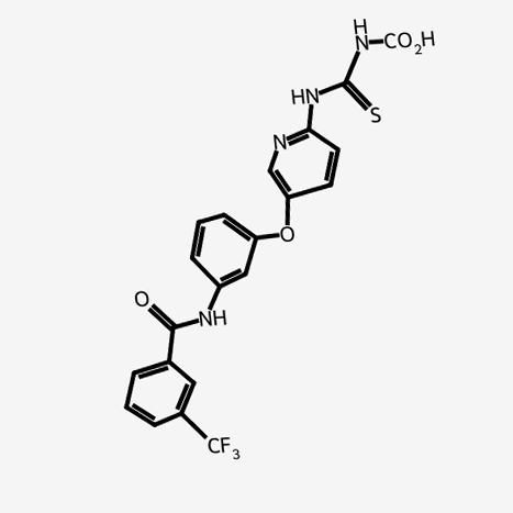 O=C(O)NC(=S)Nc1ccc(Oc2cccc(NC(=O)c3cccc(C(F)(F)F)c3)c2)cn1